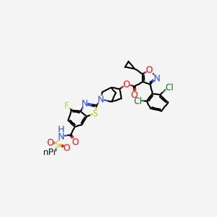 CCCS(=O)(=O)NC(=O)c1cc(F)c2nc(N3CC4CC3CC4OC(=O)c3c(-c4c(Cl)cccc4Cl)noc3C3CC3)sc2c1